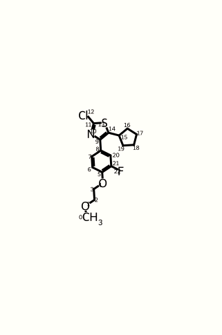 COCCOc1ccc(-c2nc(Cl)sc2C2CCCC2)cc1F